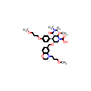 COCCCOc1ccc([C@@H]2[C@@H](OCc3ccc4c(c3)N(CCCOC)CCO4)CN(C(=O)O)C(OC)[C@H]2C(=O)N(C)C)cc1